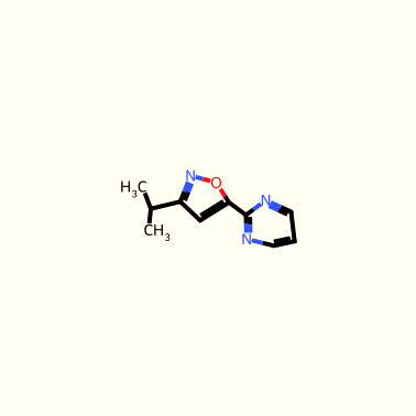 CC(C)c1cc(-c2ncccn2)on1